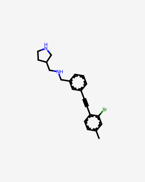 Cc1ccc(C#Cc2cccc(CNCC3CCNC3)c2)c(Br)c1